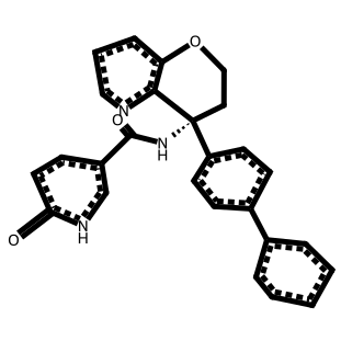 O=C(N[C@@]1(c2ccc(-c3ccccc3)cc2)CCOc2cccnc21)c1ccc(=O)[nH]c1